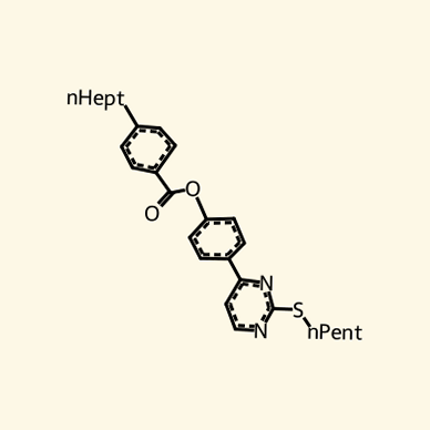 CCCCCCCc1ccc(C(=O)Oc2ccc(-c3ccnc(SCCCCC)n3)cc2)cc1